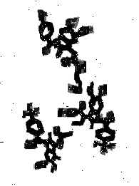 CCC(C(=O)O)c1c(C)n(C(=O)c2ccc(C(F)(F)F)cc2)c2cc(Cl)c(OC)cc12.COc1c(Cl)cc2c(c1C)c(OC(C)=O)c(C)n2C(=O)c1ccc(C(F)(F)F)cc1.Cc1c(CC(=O)NCCO)c2cc(O)c(Cl)cc2n1C(=O)c1ccc(Br)cc1